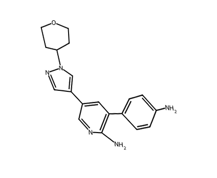 Nc1ccc(-c2cc(-c3cnn(C4CCOCC4)c3)cnc2N)cc1